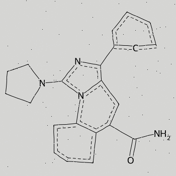 NC(=O)c1cc2c(-c3ccccc3)nc(N3CCCC3)n2c2ccccc12